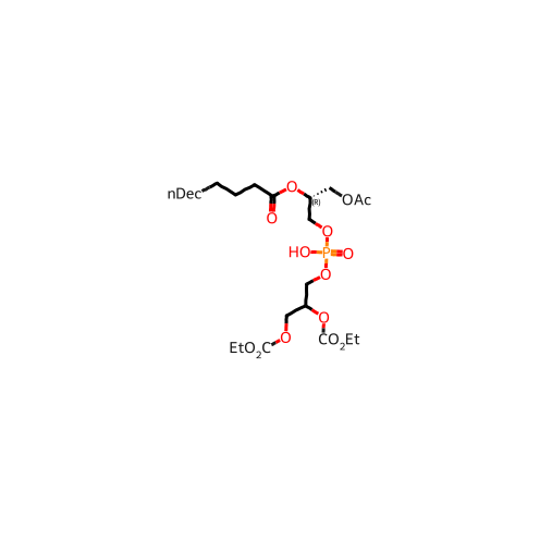 CCCCCCCCCCCCCC(=O)O[C@H](COC(C)=O)COP(=O)(O)OCC(COC(=O)OCC)OC(=O)OCC